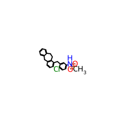 CS(=O)(=O)Nc1cccc(Cc2c(Cl)ccc3c2CCc2ccccc2C3)c1